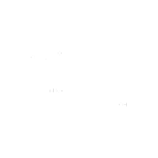 CCCCCC[C@@H]1C(=O)OC1CCCCO